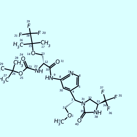 COC[C@H](c1ccnc(NC(=O)[C@@H](COC(C)(C)C(F)(F)F)NC(=O)OC(C)(C)C)c1)N1C[C@@H](C(F)(F)F)NC1=O